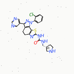 O=C(NC[C@@H]1CCNC1)Nc1nc2c(s1)-c1c(c(-c3cncnc3)nn1-c1ccccc1Cl)CC2